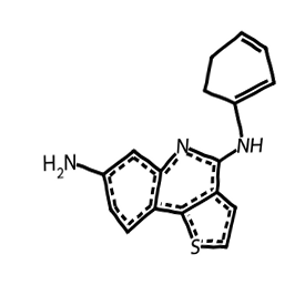 Nc1ccc2c(c1)nc(NC1=CC=CCC1)c1ccsc12